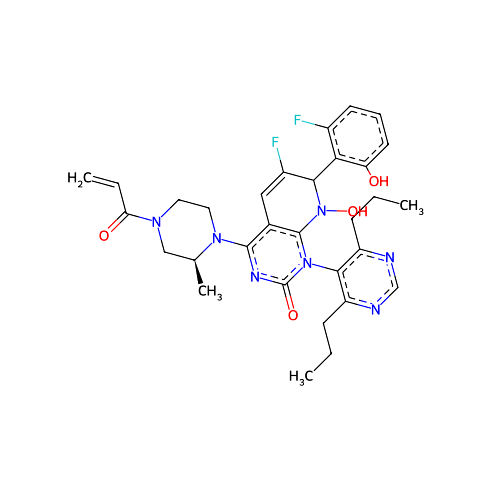 C=CC(=O)N1CCN(c2nc(=O)n(-c3c(CCC)ncnc3CCC)c3c2C=C(F)C(c2c(O)cccc2F)N3O)[C@@H](C)C1